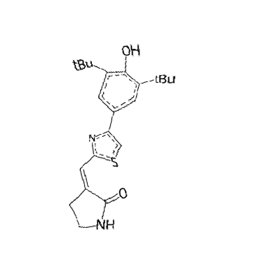 CC(C)(C)c1cc(-c2csc(/C=C3/CCNC3=O)n2)cc(C(C)(C)C)c1O